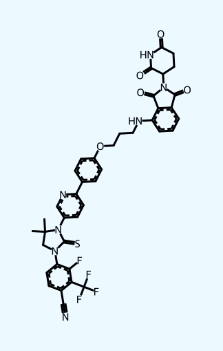 CC1(C)CN(c2ccc(C#N)c(C(F)(F)F)c2F)C(=S)N1c1ccc(-c2ccc(OCCCNc3cccc4c3C(=O)N(C3CCC(=O)NC3=O)C4=O)cc2)nc1